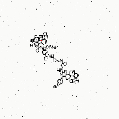 COc1cc(C(=O)NCCOCCN(C)C(=O)CCNc2nc(N3CCN(C(C)=O)CC3)c3cc(Cl)c(-c4c(O)cccc4F)c(F)c3n2)ccc1NC(=O)[C@@H]1N[C@@H](CC(C)(C)C)[C@](C#N)(c2ccc(Cl)cc2F)[C@H]1c1cccc(Cl)c1F